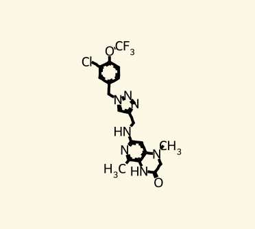 Cc1nc(NCc2cn(Cc3ccc(OC(F)(F)F)c(Cl)c3)nn2)cc2c1NC(=O)CN2C